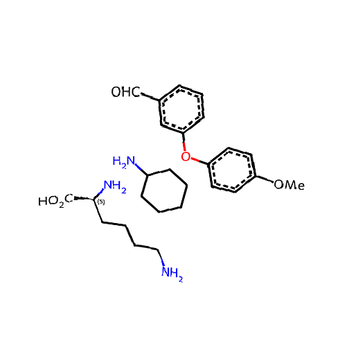 COc1ccc(Oc2cccc(C=O)c2)cc1.NC1CCCCC1.NCCCC[C@H](N)C(=O)O